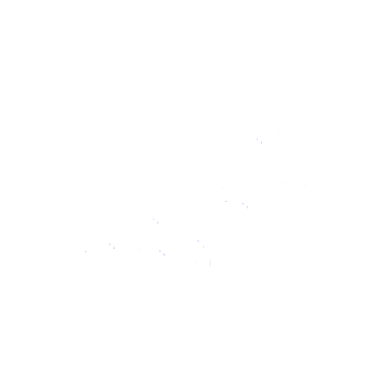 Cn1cc(C(=O)Nc2cc(Cl)cc(NS(C)(=O)=O)c2)cc1-c1ncc(N2CC(F)(F)C2)cn1